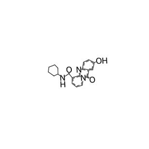 O=C(NC1CCCCC1)c1cccn2c(=O)c3cc(O)ccc3nc12